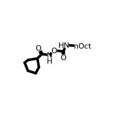 CCCCCCCCNC(=O)ONC(=O)C1CCCCC1